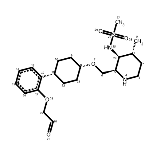 C[C@@H]1CCN[C@@H](CO[C@H]2CC[C@@H](c3ccccc3OCC=O)CC2)[C@H]1NS(C)(=O)=O